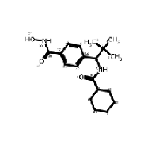 CC(C)(C)C(NC(=O)C1CCCCC1)c1ccc(C(=O)NO)cc1